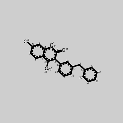 O=c1[nH]c2cc(Cl)ccc2c(O)c1-c1cccc(Cc2ccccc2)c1